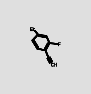 C#Cc1ccc(CC)cc1F